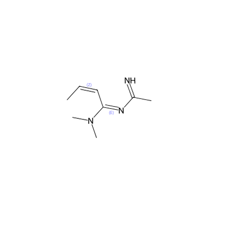 C/C=C\C(=N/C(C)=N)N(C)C